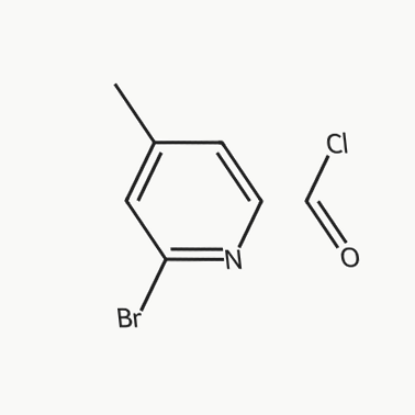 Cc1ccnc(Br)c1.O=CCl